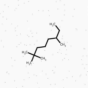 [CH2]CC(C)CCCC(C)(C)C